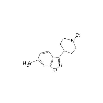 Bc1ccc2c(C3CCN(CC)CC3)noc2c1